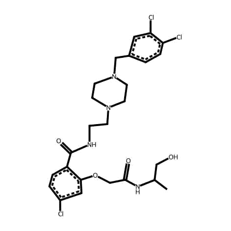 CC(CO)NC(=O)COc1cc(Cl)ccc1C(=O)NCCN1CCN(Cc2ccc(Cl)c(Cl)c2)CC1